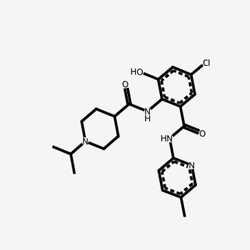 Cc1ccc(NC(=O)c2cc(Cl)cc(O)c2NC(=O)C2CCN(C(C)C)CC2)nc1